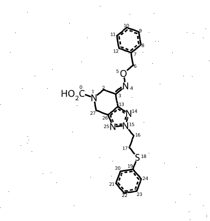 O=C(O)N1CC(=NOCc2ccccc2)c2nn(CCSc3ccccc3)nc2C1